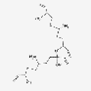 C=CC(O)CCC(N)CCC(C=C)OC(O)(C=C)CCC(N)CCC(O)C=C